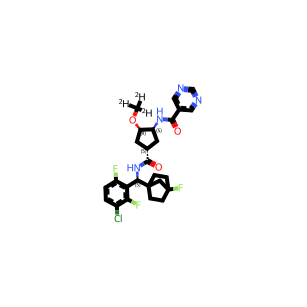 [2H]C([2H])([2H])O[C@@H]1C[C@@H](C(=O)N[C@H](c2c(F)ccc(Cl)c2F)C23CCC(F)(CC2)C3)C[C@@H]1NC(=O)c1cncnc1